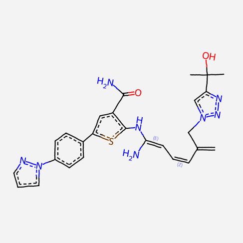 C=C(/C=C\C=C(/N)Nc1sc(-c2ccc(-n3cccn3)cc2)cc1C(N)=O)Cn1cc(C(C)(C)O)nn1